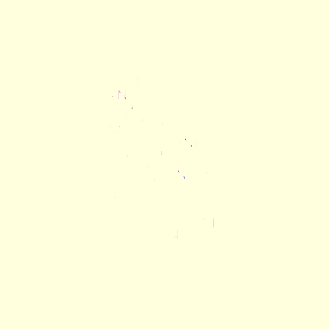 C[C@@H](C#CC(=O)N(C)C)NC(=O)N1CC[C@H](C(C)(F)F)C[C@@H]1c1ccccc1